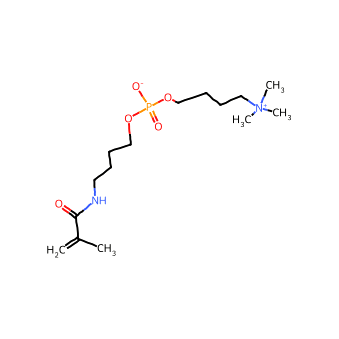 C=C(C)C(=O)NCCCCOP(=O)([O-])OCCCC[N+](C)(C)C